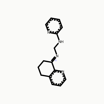 c1ccc(NC/N=C2\CCCc3cccnc32)nc1